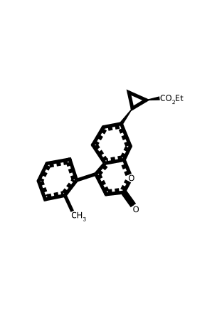 CCOC(=O)[C@@H]1C[C@@H]1c1ccc2c(-c3ccccc3C)cc(=O)oc2c1